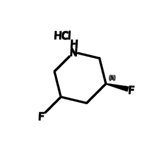 Cl.FC1CNC[C@@H](F)C1